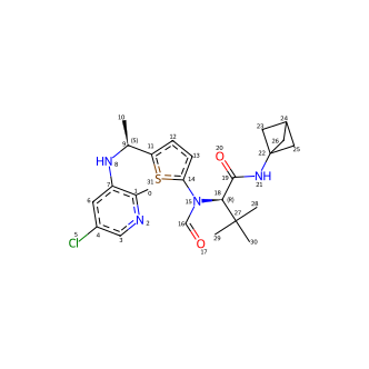 Cc1ncc(Cl)cc1N[C@@H](C)c1ccc(N(C=O)[C@@H](C(=O)NC23CC(C2)C3)C(C)(C)C)s1